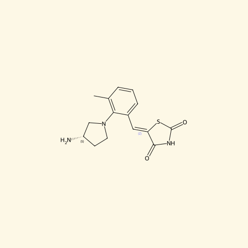 Cc1cccc(/C=C2\SC(=O)NC2=O)c1N1CC[C@H](N)C1